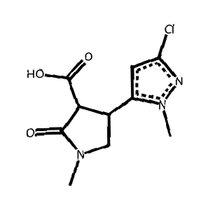 CN1CC(c2cc(Cl)nn2C)C(C(=O)O)C1=O